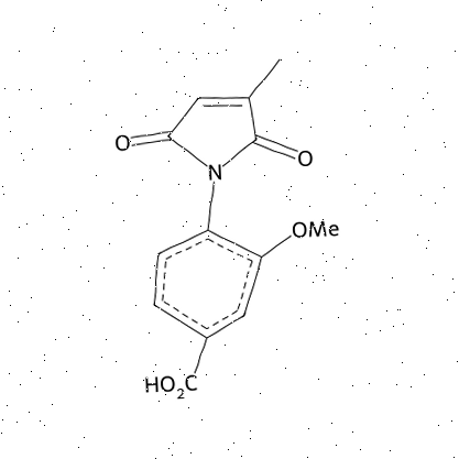 COc1cc(C(=O)O)ccc1N1C(=O)C=C(C)C1=O